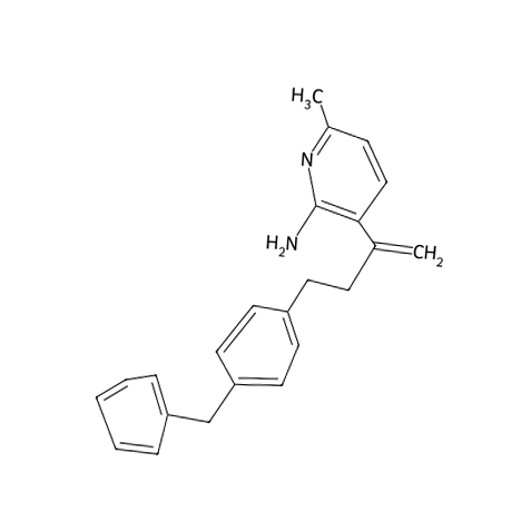 C=C(CCc1ccc(Cc2ccccc2)cc1)c1ccc(C)nc1N